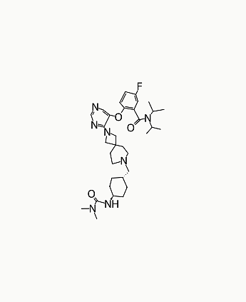 CC(C)N(C(=O)c1cc(F)ccc1Oc1cncnc1N1CC2(CCN(C[C@H]3CC[C@H](NC(=O)N(C)C)CC3)CC2)C1)C(C)C